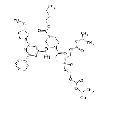 CCCCOC(=O)N1CCN(C(=O)[C@H](CP(=O)(OCOC(=O)OC(C)C)OCOC(=O)OC(C)C)NC(=O)c2cc(N3CC[C@H](OC)C3)nc(-c3ccccc3)n2)CC1